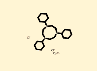 C1CCC(N2CCN(C3CCCCC3)CCN(C3CCCCC3)CC2)CC1.[Cl-].[Cl-].[Cu+2]